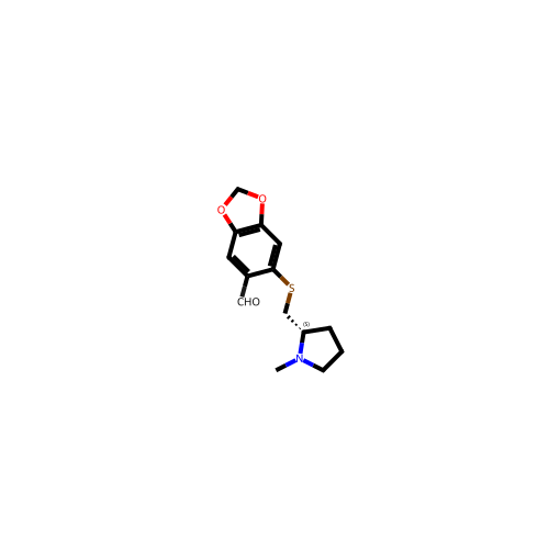 CN1CCC[C@H]1CSc1cc2c(cc1C=O)OCO2